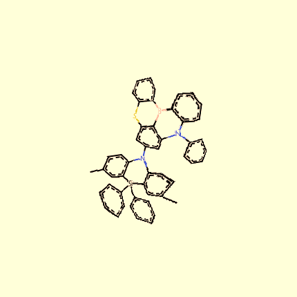 Cc1ccc2c(c1)[Si](c1ccccc1)(c1ccccc1)c1cc(C)ccc1N2c1cc2c3c(c1)N(c1ccccc1)c1ccccc1B3c1ccccc1S2